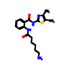 Cc1nc(NC(=O)c2ccccc2NC(=O)CCCCCN)sc1[N+](=O)[O-]